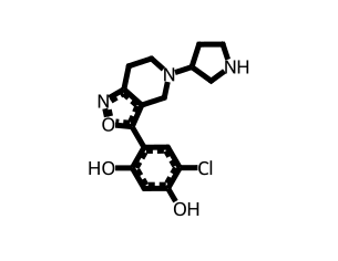 Oc1cc(O)c(-c2onc3c2CN(C2CCNC2)CC3)cc1Cl